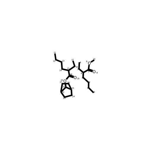 CCCCC(CC)C(=O)OC.CCCCC(CC)C(=O)OC1C2CCC1CC2